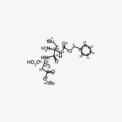 CC(C)(C)C[C@](N)(NC(=O)OCc1ccccc1)C(=O)N[C@@](C)(CC(=O)OC(C)(C)C)C(=O)O